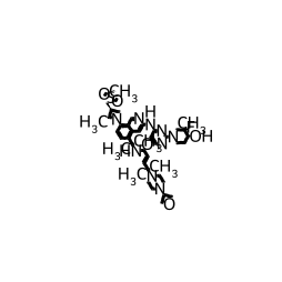 C[C@@H]1[C@@H](CS(C)(=O)=O)CN1c1ccc(C(C)(C)NC(=O)/C=C/C(C)(C)N2CCN(C3COC3)CC2)c2cc(Nc3ccnc(N4CC[C@@H](O)[C@@](C)(F)C4)n3)ncc12